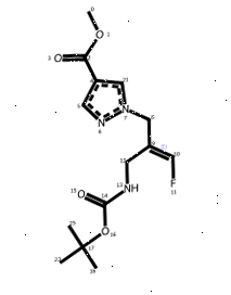 COC(=O)c1cnn(C/C(=C/F)CNC(=O)OC(C)(C)C)c1